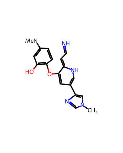 CNc1ccc(OC2=CC(c3cn(C)cn3)=CN/C2=C\C=N)c(O)c1